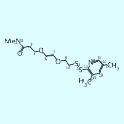 CNC(=O)CCOCCOCCSSc1ncc(C)cc1C